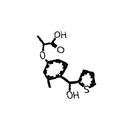 Cc1cc(OC(C)C(=O)O)ccc1C(O)c1cccs1